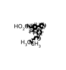 CN(C)C/C=C/C(=O)N1CCN(c2cnccc2-c2ccc(CNC(=O)O)c(C(F)F)c2)CC1